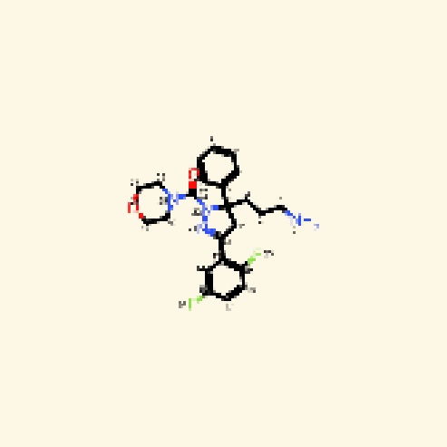 NCCCC1(c2ccccc2)CC(c2cc(F)ccc2F)=NN1C(=O)N1CCOCC1